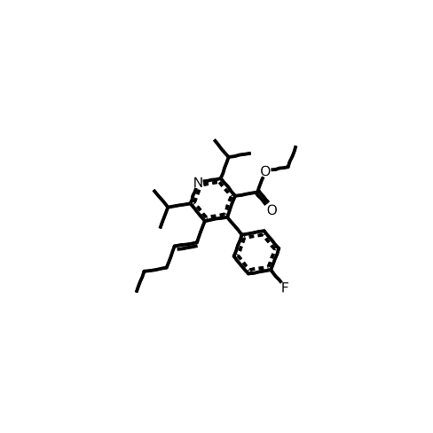 CCC/C=C/c1c(C(C)C)nc(C(C)C)c(C(=O)OCC)c1-c1ccc(F)cc1